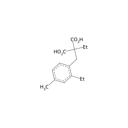 CCc1cc(C)ccc1CC(CC)(C(=O)O)C(=O)O